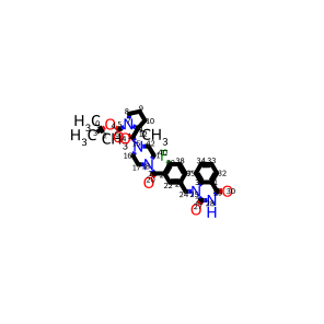 CC(C)(C)OC(=O)N1CCC[C@@]1(C)C(=O)N1CCN(C(=O)c2cc(Cn3c(=O)[nH]c(=O)c4ccccc43)ccc2F)CC1